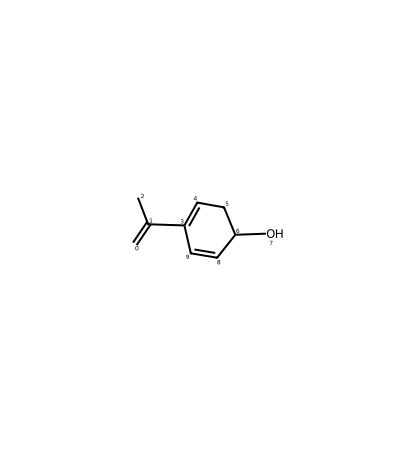 C=C(C)C1=CCC(O)C=C1